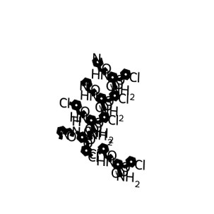 Cc1cccc(CC(=O)Nc2ccc(Oc3cccc(Cl)c3)c(S(N)(=O)=O)c2)n1.NS(=O)(=O)c1cc(NC(=O)Cc2cccc(Cl)c2)ccc1Oc1cccc(Cl)c1.NS(=O)(=O)c1cc(NC(=O)Cc2ccccc2Cl)ccc1Oc1cccc(Cl)c1.NS(=O)(=O)c1cc(NC(=O)Cc2ccccn2)ccc1Oc1cccc(Cl)c1.NS(=O)(=O)c1cc(NC(=O)Cc2ccncc2)ccc1Oc1cccc(Cl)c1